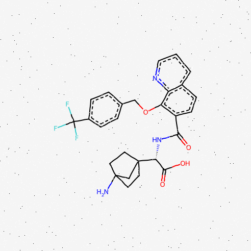 NC12CCC([C@H](NC(=O)c3ccc4cccnc4c3OCc3ccc(C(F)(F)F)cc3)C(=O)O)(CC1)C2